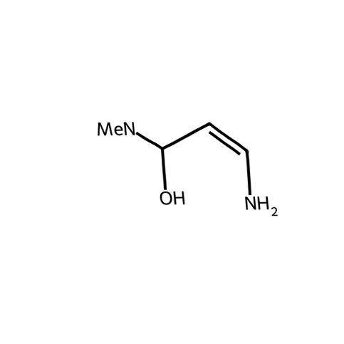 CNC(O)/C=C\N